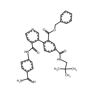 CC(C)(C)CNC(=O)c1ccc(-c2cnccc2C(=O)Nc2ccc(C(=N)N)cc2)c(C(=O)OCc2ccccc2)c1